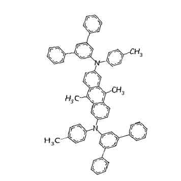 Cc1ccc(N(c2cc(-c3ccccc3)cc(-c3ccccc3)c2)c2ccc3c(C)c4cc(N(c5ccc(C)cc5)c5cc(-c6ccccc6)cc(-c6ccccc6)c5)ccc4c(C)c3c2)cc1